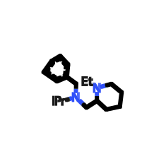 CCN1CCCCC1CN(Cc1ccccc1)C(C)C